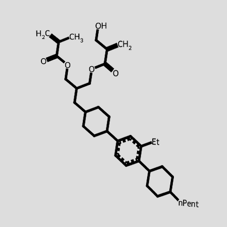 C=C(C)C(=O)OCC(COC(=O)C(=C)CO)CC1CCC(c2ccc(C3CCC(CCCCC)CC3)c(CC)c2)CC1